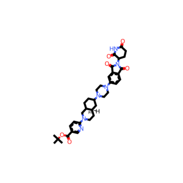 CC(C)(C)OC(=O)c1ccc(N2CC[C@@H]3CC(N4CCN(c5ccc6c(c5)C(=O)N(C5CCC(=O)NC5=O)C6=O)CC4)CCC3C2)nc1